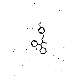 COc1ccc(CCC(=O)N(C2CCCCC2)C2C=CC=CN2C)cc1